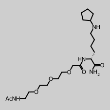 CC(=O)NCCOCCOCCOCC(=O)N[C@H](CCCCNC1CCCC1)C(N)=O